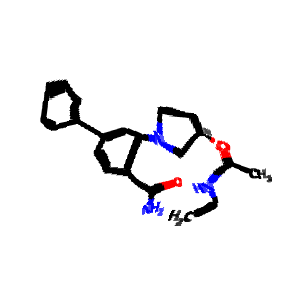 C=CNC(C)O[C@H]1CCN(c2cc(-c3ccccc3)ccc2C(N)=O)C1